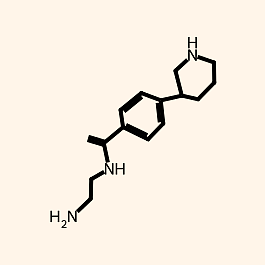 C=C(NCCN)c1ccc(C2CCCNC2)cc1